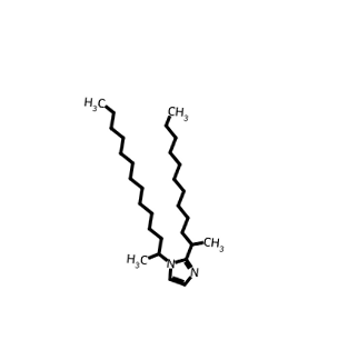 CCCCCCCCCCCCC(C)n1ccnc1C(C)CCCCCCCCCC